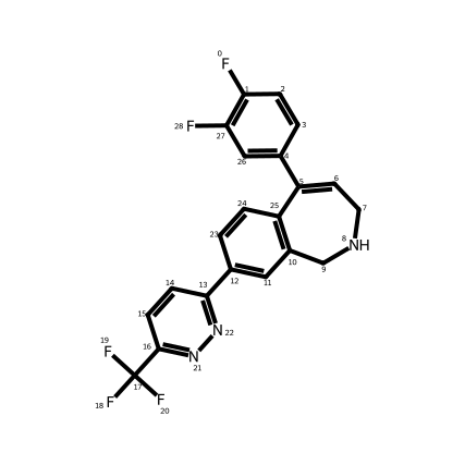 Fc1ccc(C2=CCNCc3cc(-c4ccc(C(F)(F)F)nn4)ccc32)cc1F